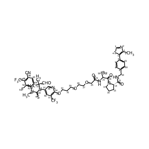 Cc1ncsc1-c1ccc(CNC(=O)[C@@H]2CCCN2C(=O)C(NC(=O)COCCOCCCOc2ncc(N(C(=S)N(C)c3ccc(C#N)c(C(F)(F)F)c3F)C(C)(C)C=O)cc2C(F)(F)F)C(C)(C)C)cc1